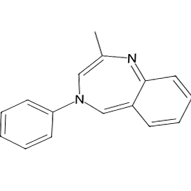 CC1=CN(c2ccccc2)C=c2ccccc2=N1